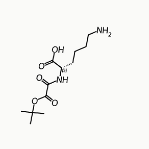 CC(C)(C)OC(=O)C(=O)N[C@@H](CCCCN)C(=O)O